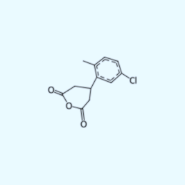 Cc1ccc(Cl)cc1C1CC(=O)OC(=O)C1